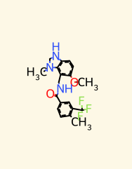 COc1ccc2c(c1CNC(=O)c1ccc(C)c(C(F)(F)F)c1)N(C)CN2